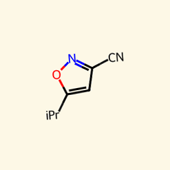 CC(C)c1cc(C#N)no1